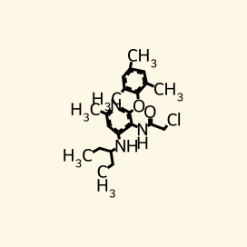 CCC(CC)Nc1cc(C)nc(Oc2c(C)cc(C)cc2C)c1NC(=O)CCl